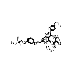 CSCC(=O)Nc1c2c(nn1-c1ccc(C)cn1)CC(CCOc1cccc(OCC(C)(F)F)c1)NC2=O